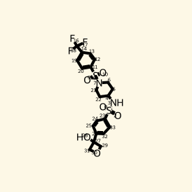 O=S(=O)(NC1CCN(S(=O)(=O)c2ccc(C(F)(F)F)cc2)CC1)c1ccc(C2(O)COC2)cc1